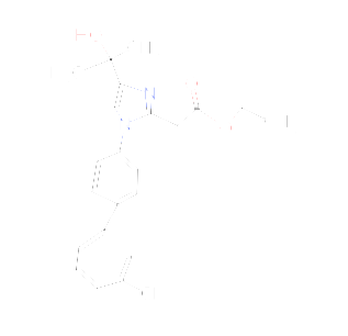 CCOC(=O)Cc1nc(C(C)(C)O)cn1-c1ccc(-c2cccc(C)c2)cc1